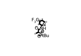 C=C(C(=O)Nc1cc(C(F)(F)F)ccn1)S(=O)(=O)C(C)(C)C